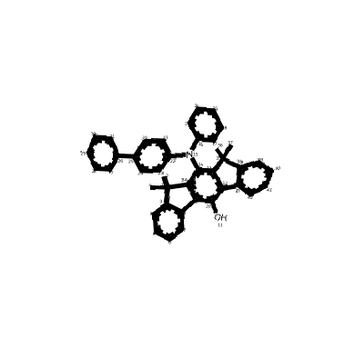 CC1(C)c2ccccc2-c2c(O)c3c(c(N(c4ccccc4)c4ccc(-c5ccccc5)cc4)c21)C(C)(C)c1ccccc1-3